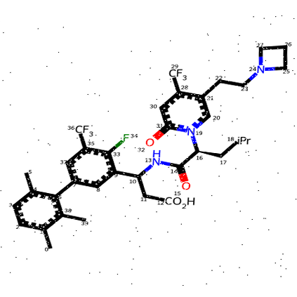 Cc1ccc(C)c(-c2cc(C(CC(=O)O)NC(=O)[C@H](CC(C)C)n3cc(CCN4CCC4)c(C(F)(F)F)cc3=O)c(F)c(C(F)(F)F)c2)c1C